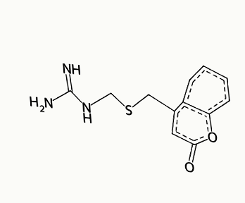 N=C(N)NCSCc1cc(=O)oc2ccccc12